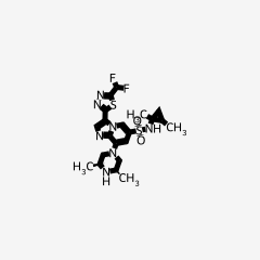 CC1CC1(C)NS(=O)(=O)c1cc(N2C[C@H](C)N[C@@H](C)C2)c2ncc(-c3nnc(C(F)F)s3)n2c1